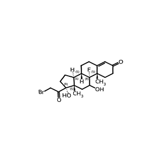 C[C@]12CCC(=O)C=C1CC[C@H]1[C@@H]3CC[C@](O)(C(=O)CBr)[C@@]3(C)CC(O)[C@@]12F